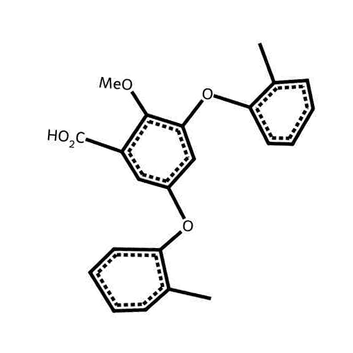 COc1c(Oc2ccccc2C)cc(Oc2ccccc2C)cc1C(=O)O